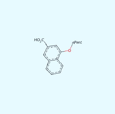 CCCCCOc1cc(C(=O)O)cc2ccccc12